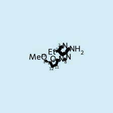 CCc1cnc(N)c2ncn([C@H]3CC[C@@H](COC)O3)c12